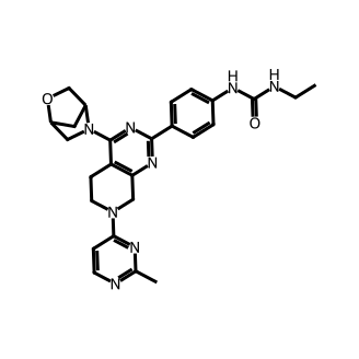 CCNC(=O)Nc1ccc(-c2nc3c(c(N4CC5CC4CO5)n2)CCN(c2ccnc(C)n2)C3)cc1